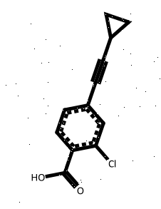 O=C(O)c1ccc(C#CC2CC2)cc1Cl